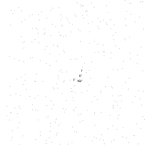 [I-].[I-].[K+].[Na+]